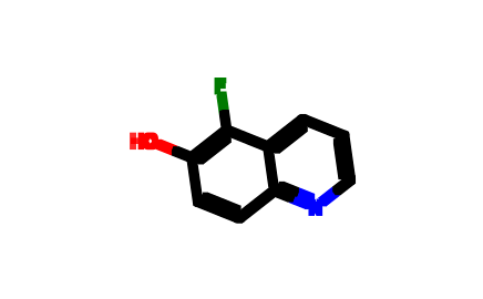 Oc1ccc2ncccc2c1F